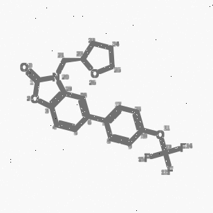 O=c1oc2ccc(-c3ccc(OC(F)(F)F)cc3)cc2n1C[C@H]1CCCO1